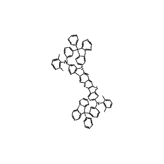 Cc1cccc(C)c1N(c1cccc(C2(c3ccccc3)c3ccccc3-c3ccccc32)c1)c1ccc2c(c1)sc1cc3cc4sc5cc(N(c6cccc(C7(c8ccccc8)c8ccccc8-c8ccccc87)c6)c6c(C)cccc6C)ccc5c4cc3cc12